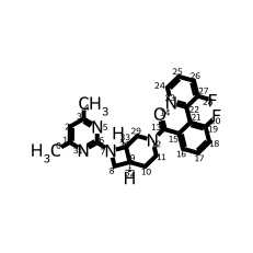 Cc1cc(C)nc(N2C[C@@H]3CCN(C(=O)c4cccc(F)c4-c4ncccc4F)C[C@@H]32)n1